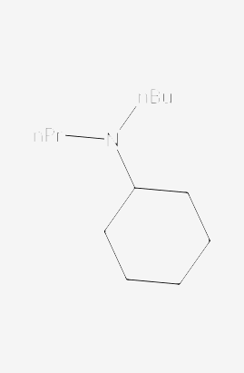 [CH2]CCCN(CCC)C1CCCCC1